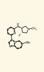 CN1C[C@H](Nc2cccc(-c3cnc4ccc(C(C)(C)C)cn34)n2)[C@@H](F)C1